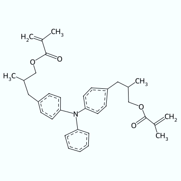 C=C(C)C(=O)OCC(C)Cc1ccc(N(c2ccccc2)c2ccc(CC(C)COC(=O)C(=C)C)cc2)cc1